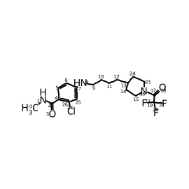 CNC(=O)c1ccc(NCCCCC2CCN(C(=O)C(F)(F)F)CC2)cc1Cl